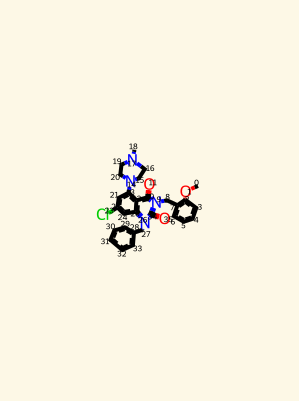 COc1ccccc1Cn1c(=O)c2c(N3CCN(C)CC3)cc(Cl)cc2n(Cc2ccccc2)c1=O